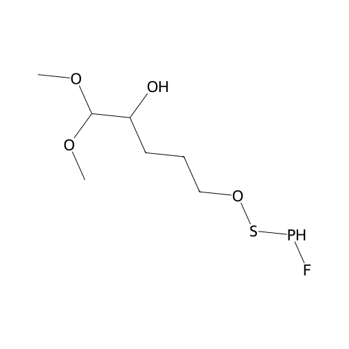 COC(OC)C(O)CCCOSPF